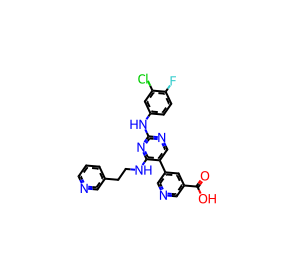 O=C(O)c1cncc(-c2cnc(Nc3ccc(F)c(Cl)c3)nc2NCCc2cccnc2)c1